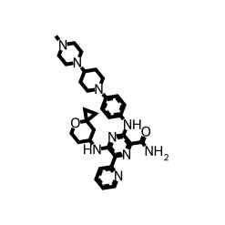 CN1CCN(C2CCN(c3ccc(Nc4nc(NC5CCOC6(CC6)C5)c(-c5ccccn5)nc4C(N)=O)cc3)CC2)CC1